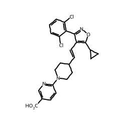 O=C(O)c1ccc(N2CCC(C=Cc3c(-c4c(Cl)cccc4Cl)noc3C3CC3)CC2)nc1